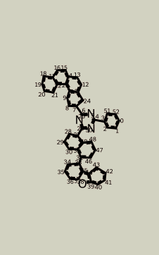 c1ccc(-c2nc(-c3ccc4c(ccc5ccc6ccccc6c54)c3)nc(-c3cccc4c(-c5cccc6oc7ccccc7c56)cccc34)n2)cc1